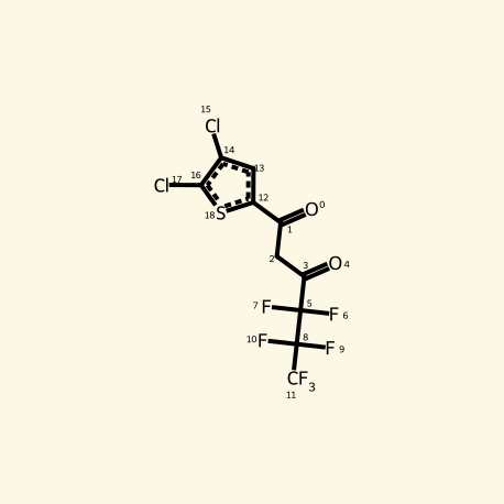 O=C(CC(=O)C(F)(F)C(F)(F)C(F)(F)F)c1cc(Cl)c(Cl)s1